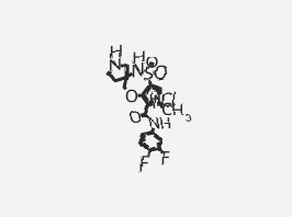 Cl.Cn1cc2c(c1C(=O)Nc1ccc(F)c(F)c1)OCC1(CCNC1)NS2(=O)=O